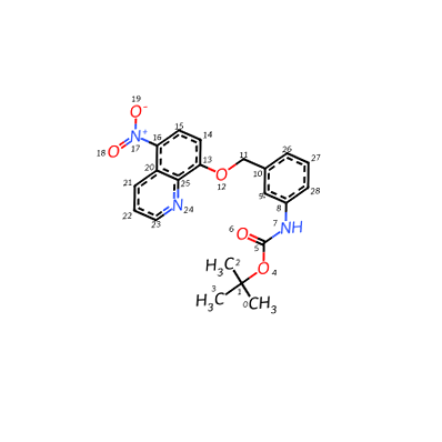 CC(C)(C)OC(=O)Nc1[c]c(COc2ccc([N+](=O)[O-])c3cccnc23)ccc1